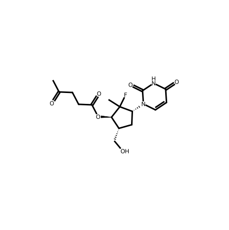 CC(=O)CCC(=O)O[C@@H]1[C@@H](CO)C[C@@H](n2ccc(=O)[nH]c2=O)C1(C)F